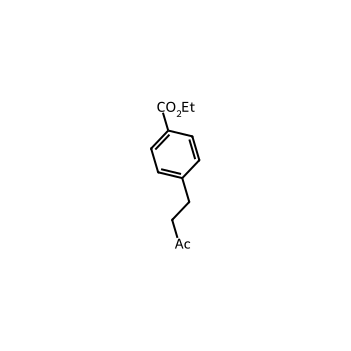 CCOC(=O)c1ccc(CCC(C)=O)cc1